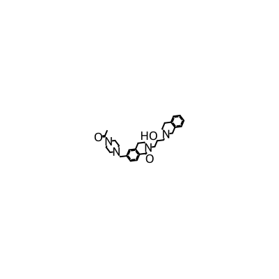 CC(=O)N1CCN(Cc2ccc3c(c2)CCN(CC(O)CN2CCc4ccccc4C2)C3=O)CC1